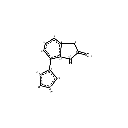 O=C1Cc2cccc(-c3cscn3)c2N1